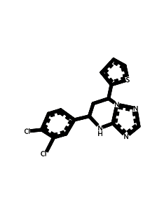 Clc1ccc(C2CC(c3cccs3)n3ncnc3N2)cc1Cl